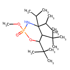 COP1(=O)NC(C(C)C)(C(C)C)C(C(C)(C)C)C(C(C)(C)C)O1